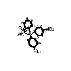 CC(C)(C)c1ccc(S(O[Cl+3]([O-])([O-])[O-])(c2ccccc2)c2ccc(C(C)(C)C)cc2)cc1